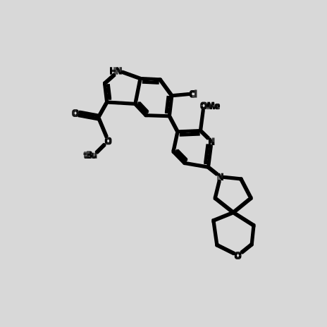 COc1nc(N2CCC3(CCOCC3)C2)ccc1-c1cc2c(C(=O)OC(C)(C)C)c[nH]c2cc1Cl